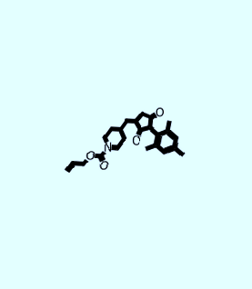 C=CCOC(=O)N1CCC(CC2CC(=O)C(c3c(C)cc(C)cc3C)C2=O)CC1